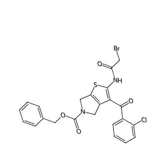 O=C(CBr)Nc1sc2c(c1C(=O)c1ccccc1Cl)CN(C(=O)OCc1ccccc1)C2